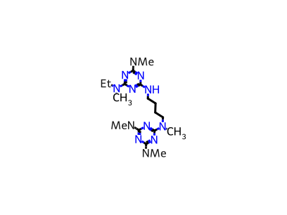 CCN(C)c1nc(NC)nc(NCCCCN(C)c2nc(NC)nc(NC)n2)n1